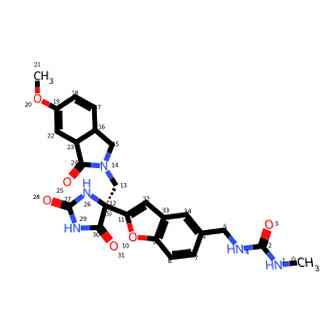 CNC(=O)NCc1ccc2oc([C@]3(CN4CC5C=CC(OC)=CC5C4=O)NC(=O)NC3=O)cc2c1